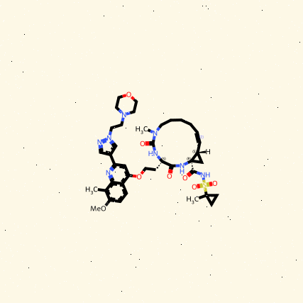 COc1ccc2c(OCC[C@@H]3NC(=O)N(C)CCCC/C=C\[C@@H]4C[C@@]4(C(=O)NS(=O)(=O)C4(C)CC4)NC3=O)cc(-c3cnn(CCN4CCOCC4)c3)nc2c1C